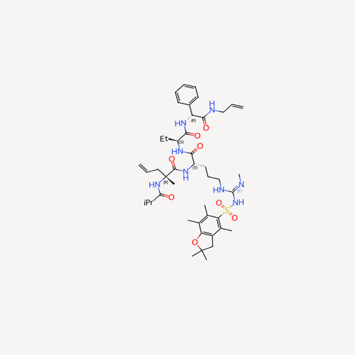 C=CCNC(=O)[C@H](NC(=O)[C@H](CC)NC(=O)[C@H](CCCN/C(=N\C)NS(=O)(=O)c1c(C)c(C)c2c(c1C)CC(C)(C)O2)NC(=O)[C@@](C)(CC=C)NC(=O)C(C)C)c1ccccc1